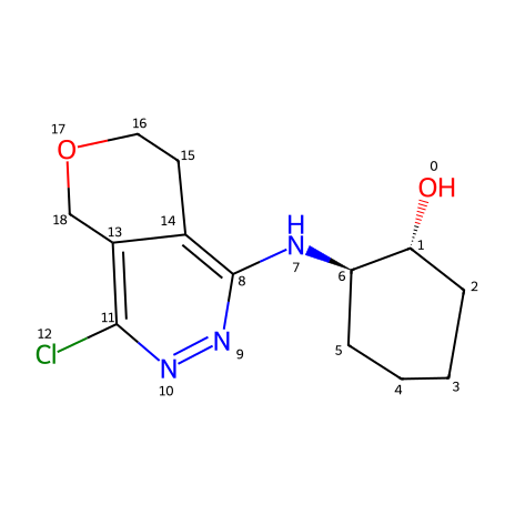 O[C@@H]1CCCC[C@H]1Nc1nnc(Cl)c2c1CCOC2